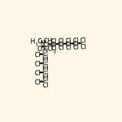 CN(C)C(=O)C(Cl)(Cl)Cl.ClC(Cl)Cl.ClC(Cl)Cl.ClC(Cl)Cl.ClC(Cl)Cl.ClC(Cl)Cl.ClC(Cl)Cl.ClC(Cl)Cl.ClC(Cl)Cl.ClC(Cl)Cl